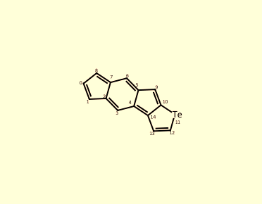 C1=Cc2cc3c(cc2=C1)C=c1[te]ccc1=3